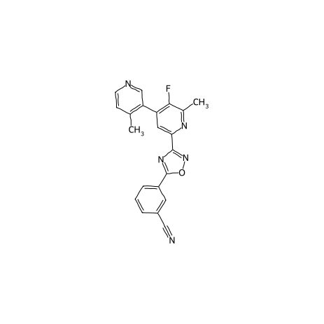 Cc1ccncc1-c1cc(-c2noc(-c3cccc(C#N)c3)n2)nc(C)c1F